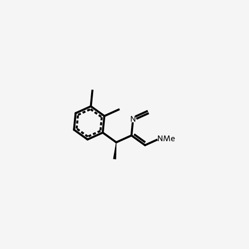 C=N/C(=C\NC)[C@@H](C)c1cccc(C)c1C